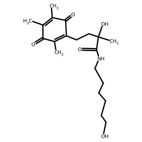 CC1=C(C)C(=O)C(CCC(C)(O)C(=O)NCCCCCCO)=C(C)C1=O